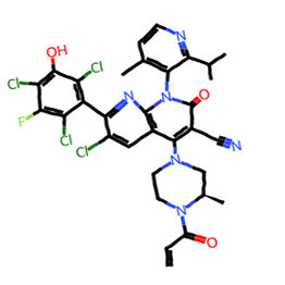 C=CC(=O)N1CCN(c2c(C#N)c(=O)n(-c3c(C)ccnc3C(C)C)c3nc(-c4c(Cl)c(O)c(Cl)c(F)c4Cl)c(Cl)cc23)C[C@H]1C